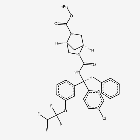 CC(C)(C)OC(=O)N1C[C@@H]2C[C@H]1CN2C(=O)N[C@](Cc1ccccc1)(c1cccc(OC(F)(F)C(F)F)c1)c1ccc(Cl)cn1